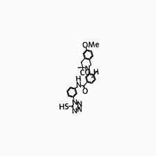 COc1ccc2c(c1)CC(C)(C(=O)O)N(c1cc(C(=O)Nc3cccc(-n4nnnc4S)c3)ccc1C)C2